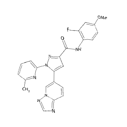 COc1ccc(NC(=O)c2cc(-c3ccc4ncnn4c3)n(-c3cccc(C)n3)n2)c(F)c1